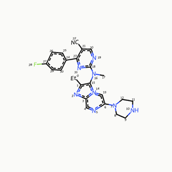 CCc1nc2cnc(N3CCNCC3)cn2c1N(C)c1ncc(C#N)c(-c2ccc(F)cc2)n1